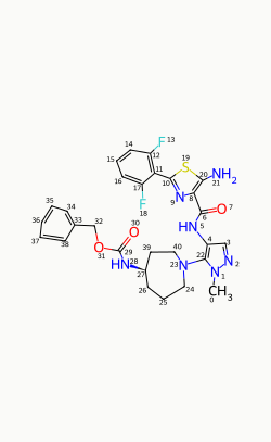 Cn1ncc(NC(=O)c2nc(-c3c(F)cccc3F)sc2N)c1N1CCC[C@@H](NC(=O)OCc2ccccc2)CC1